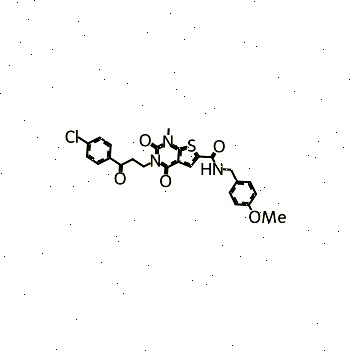 COc1ccc(CNC(=O)c2cc3c(=O)n(CCC(=O)c4ccc(Cl)cc4)c(=O)n(C)c3s2)cc1